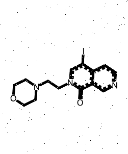 O=c1c2cnccc2c(I)cn1CCN1CCOCC1